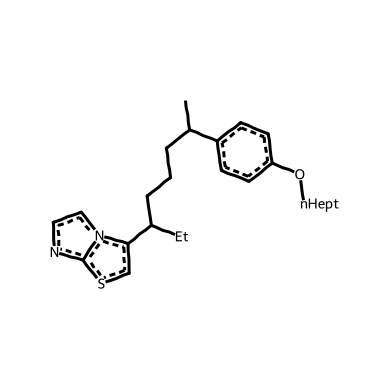 CCCCCCCOc1ccc(C(C)CCCC(CC)c2csc3nccn23)cc1